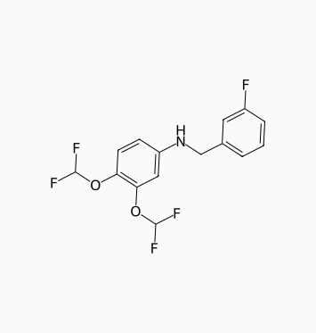 Fc1cccc(CNc2ccc(OC(F)F)c(OC(F)F)c2)c1